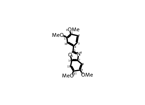 COc1ccc(-c2nc3cc(OC)c(OC)cc3o2)cc1OC